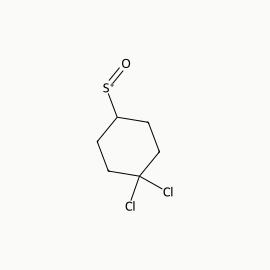 O=[S+]C1CCC(Cl)(Cl)CC1